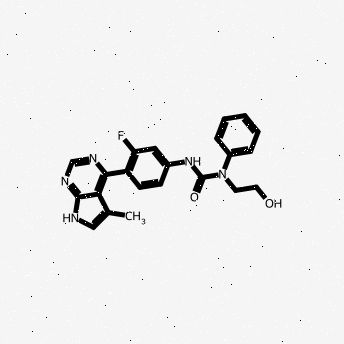 Cc1c[nH]c2ncnc(-c3ccc(NC(=O)N(CCO)c4ccccc4)cc3F)c12